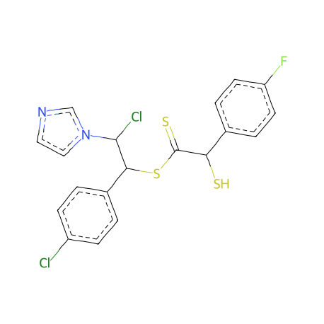 Fc1ccc(C(S)C(=S)SC(c2ccc(Cl)cc2)C(Cl)n2ccnc2)cc1